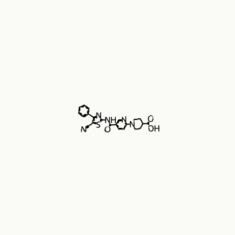 N#Cc1sc(NC(=O)c2ccc(N3CCC(C(=O)O)CC3)nc2)nc1-c1ccccc1